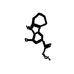 COC(=O)c1cc(Cl)c2[nH]c3c(c2c1)CCCC3